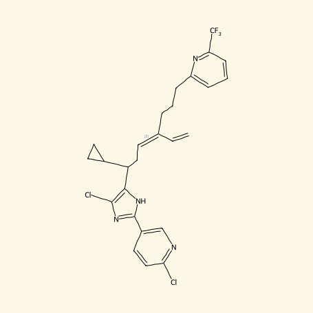 C=C/C(=C\CC(c1[nH]c(-c2ccc(Cl)nc2)nc1Cl)C1CC1)CCCc1cccc(C(F)(F)F)n1